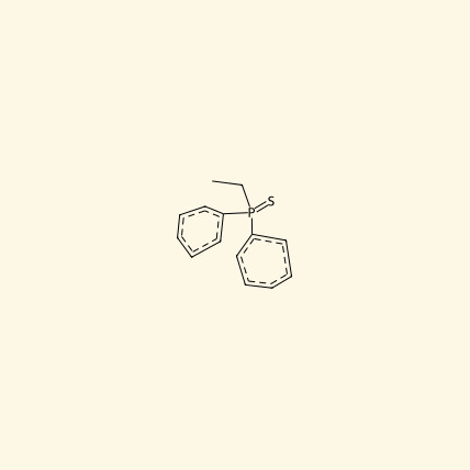 CCP(=S)(c1ccccc1)c1ccccc1